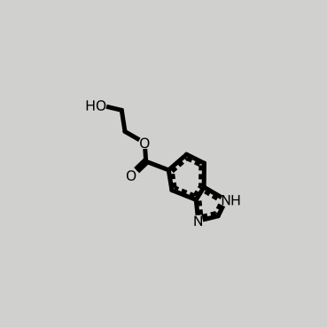 O=C(OCCO)c1ccc2[nH]cnc2c1